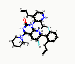 C=CCc1cccc(F)c1-c1nc2c(cc1F)c(N1CCCC[C@@H]1C)nc(=O)n2-c1c(CC=C)ccnc1C(C)C